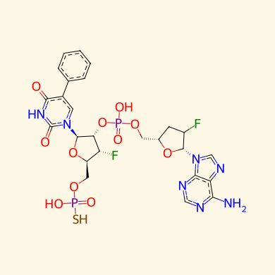 Nc1ncnc2c1ncn2[C@@H]1O[C@H](COP(=O)(O)O[C@@H]2[C@H](F)[C@@H](COP(=O)(O)S)O[C@H]2n2cc(-c3ccccc3)c(=O)[nH]c2=O)CC1F